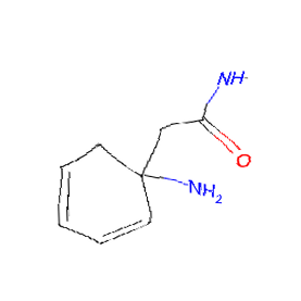 [NH]C(=O)CC1(N)C=CC=CC1